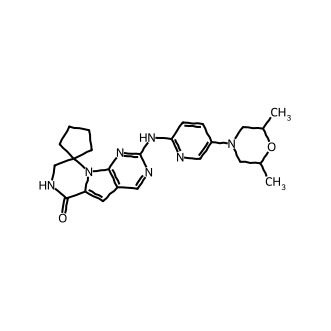 CC1CN(c2ccc(Nc3ncc4cc5n(c4n3)C3(CCCC3)CNC5=O)nc2)CC(C)O1